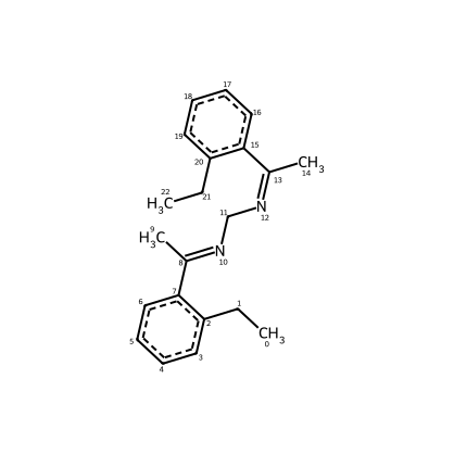 CCc1ccccc1C(C)=NCN=C(C)c1ccccc1CC